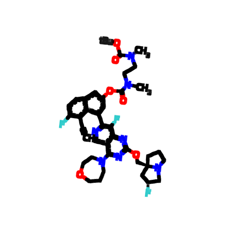 C#Cc1c(F)ccc2cc(OC(=O)N(C)CCN(C)C(=O)OC(C)(C)C)cc(-c3ncc4c(N5CCCOCC5)nc(OC[C@@]56CCCN5C[C@H](F)C6)nc4c3F)c12